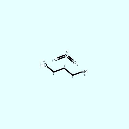 CCCCCCO.O=S=O